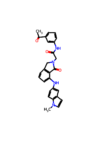 CC(=O)c1cccc(NC(=O)CN2Cc3cccc(Nc4ccc5c(ccn5C)c4)c3C2=O)c1